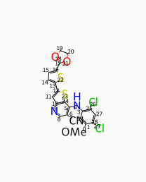 COc1cc(Nc2c(C#N)cnc3cc(-c4ccc(C5OCCO5)s4)sc23)c(Cl)cc1Cl